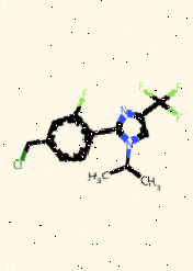 CC(C)n1cc(C(F)(F)F)nc1-c1ccc(CCl)cc1F